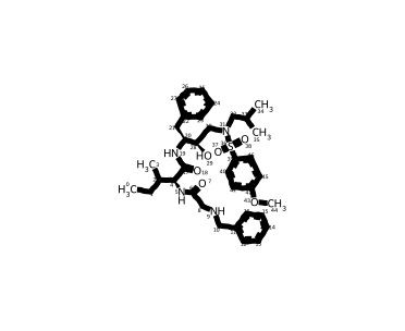 CCC(C)[C@H](NC(=O)CNCc1ccccc1)C(=O)N[C@@H](Cc1ccccc1)[C@H](O)CN(CC(C)C)S(=O)(=O)c1ccc(OC)cc1